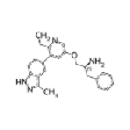 C=Cc1ncc(OC[C@@H](N)Cc2ccccc2)cc1-c1ccc2[nH]nc(C)c2c1